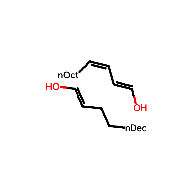 CCCCCCCC/C=C\C=C\O.CCCCCCCCCCCC/C=C/O